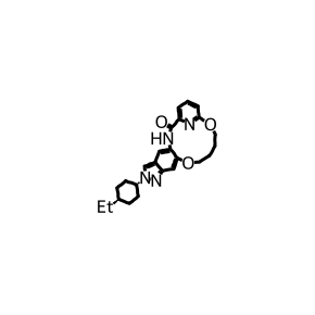 CC[C@H]1CC[C@H](n2cc3cc4c(cc3n2)OCCCCOc2cccc(n2)C(=O)N4)CC1